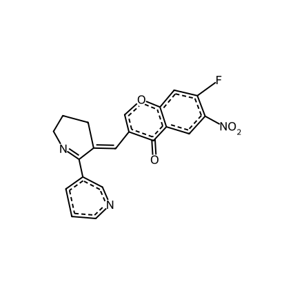 O=c1c(C=C2CCCN=C2c2cccnc2)coc2cc(F)c([N+](=O)[O-])cc12